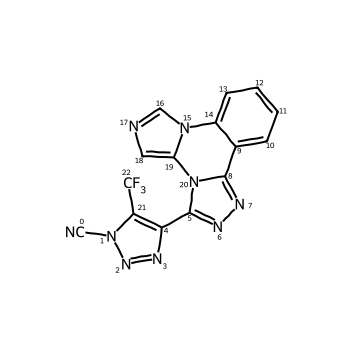 N#Cn1nnc(-c2nnc3c4ccccc4n4cncc4n23)c1C(F)(F)F